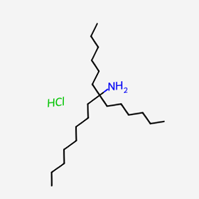 CCCCCCCCC(N)(CCCCCC)CCCCCC.Cl